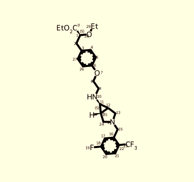 CCOC(=O)[C@H](Cc1ccc(OCCN[C@H]2C3CN(Cc4cc(F)ccc4C(F)(F)F)C[C@@H]32)cc1)OCC